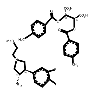 COCCN1C[C@@H](N)[C@H](c2ccc(F)c(F)c2)C1.Cc1ccc(C(=O)O[C@H](C(=O)O)[C@H](OC(=O)c2ccc(C)cc2)C(=O)O)cc1